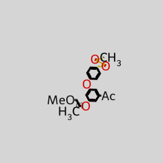 COC[C@H](C)Oc1cc(Oc2ccc(S(C)(=O)=O)cc2)cc(C(C)=O)c1